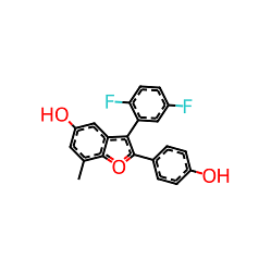 Cc1cc(O)cc2c(-c3cc(F)ccc3F)c(-c3ccc(O)cc3)oc12